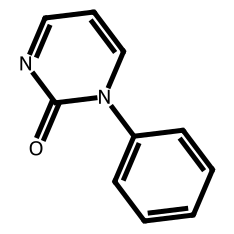 O=c1ncccn1-c1ccccc1